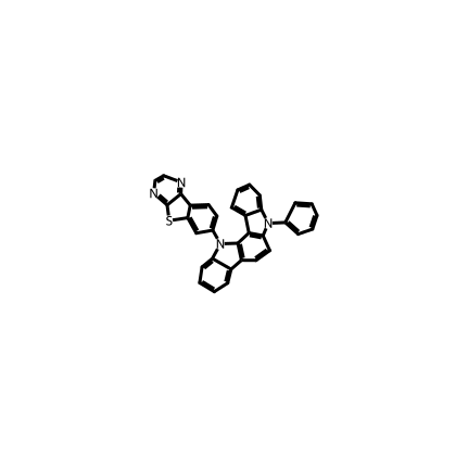 c1ccc(-n2c3ccccc3c3c2ccc2c4ccccc4n(-c4ccc5c(c4)sc4nccnc45)c23)cc1